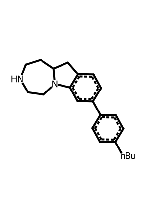 CCCCc1ccc(-c2ccc3c(c2)N2CCNCCC2C3)cc1